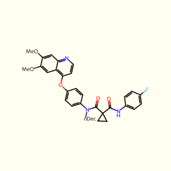 CCCCCCCCCCN(C(=O)C1(C(=O)Nc2ccc(F)cc2)CC1)c1ccc(Oc2ccnc3cc(OC)c(OC)cc23)cc1